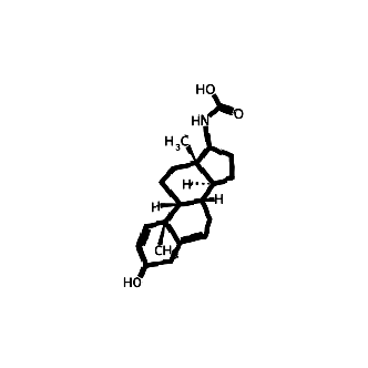 C[C@]12C=CC(O)CC1=CC[C@@H]1[C@H]2CC[C@]2(C)C(NC(=O)O)CC[C@@H]12